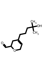 CC(C)(O)CCCC1=CCOC(C=O)C1